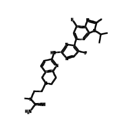 Cc1nc2c(F)cc(-c3nc(Nc4ccc5c(n4)CCN(CCN(C)C(=N)N)C5)ncc3F)cc2n1C(C)C